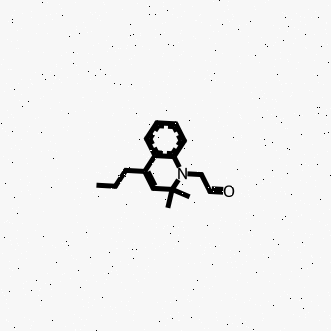 CCCC1=CC(C)(C)N(CC=O)c2ccccc21